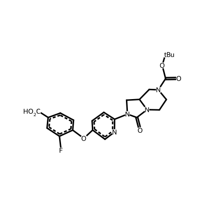 CC(C)(C)OC(=O)N1CCN2C(=O)N(c3ccc(Oc4ccc(C(=O)O)cc4F)cn3)CC2C1